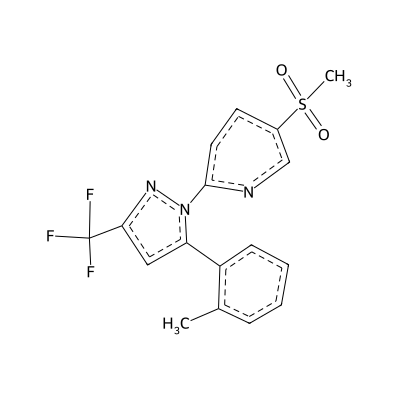 Cc1ccccc1-c1cc(C(F)(F)F)nn1-c1ccc(S(C)(=O)=O)cn1